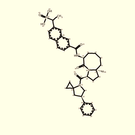 CC(c1ccc2ccc(C(=O)N[C@H]3CCCC[C@H]4CC[C@@H](C(=O)N5C[C@@H](c6ccccc6)CC56CC6)N4C3=O)cc2c1)P(=O)(O)O